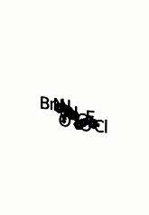 COCCn1c(CN2CCC(c3cccc4c3OC(C)(c3ccc(Cl)cc3F)O4)CC2)nc2nc(Br)ccc21